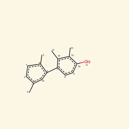 Cc1ccc(C)c(-c2ccc(O)c(C)c2C)c1